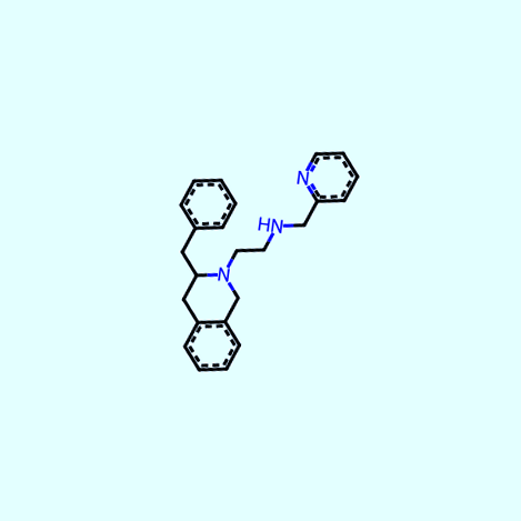 c1ccc(CC2Cc3ccccc3CN2CCNCc2ccccn2)cc1